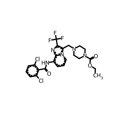 CCOC(=O)N1CCN(Cc2c(C(F)(F)F)nc3c(NC(=O)c4c(Cl)cccc4Cl)cccn23)CC1